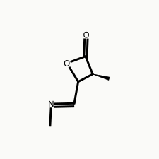 C/N=C/C1OC(=O)[C@H]1C